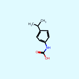 CC(C)c1ccc(NC(=O)O)cc1